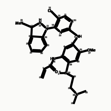 C=CC(=O)Nc1cc(Nc2ncc(Cl)c(N3NC(NC)c4ccccc43)n2)c(OC)cc1N(C)CCN(C)C